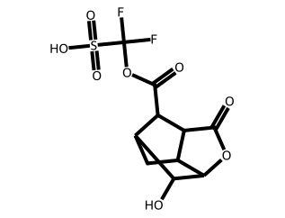 O=C(OC(F)(F)S(=O)(=O)O)C1C2CC3C(OC(=O)C31)C2O